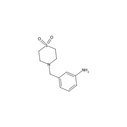 Nc1cccc(CN2CCS(=O)(=O)CC2)c1